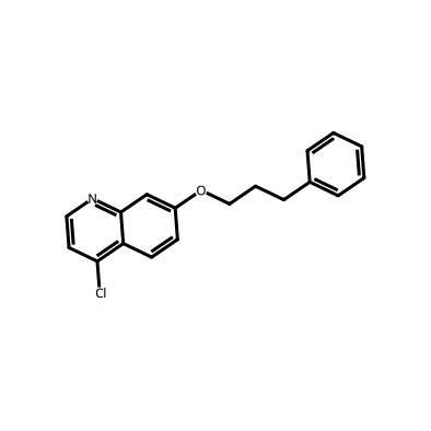 Clc1ccnc2cc(OCCCc3ccccc3)ccc12